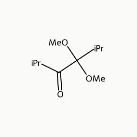 COC(OC)(C(=O)C(C)C)C(C)C